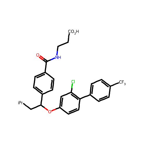 CC(C)CC(Oc1ccc(-c2ccc(C(F)(F)F)cc2)c(Cl)c1)c1ccc(C(=O)NCCC(=O)O)cc1